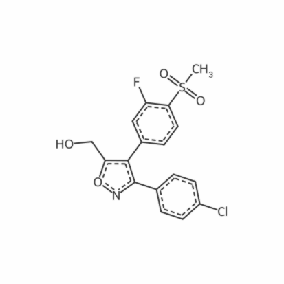 CS(=O)(=O)c1ccc(-c2c(-c3ccc(Cl)cc3)noc2CO)cc1F